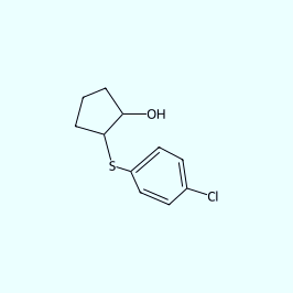 OC1CCCC1Sc1ccc(Cl)cc1